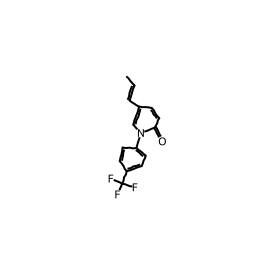 C/C=C/c1ccc(=O)n(-c2ccc(C(F)(F)F)cc2)c1